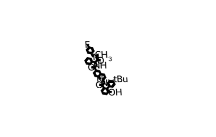 CN(Cc1ccc(F)cc1)C(=O)C(NC(=O)c1ccc2nc(NC(=O)c3cccc(O)c3-c3ccc(C(C)(C)C)cc3)ccc2c1)c1ccccc1